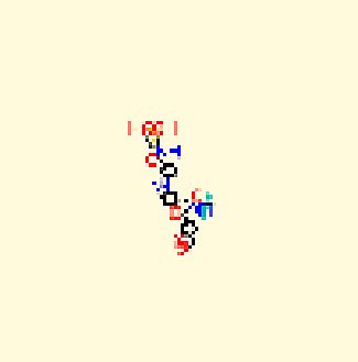 C[C@H](NC(=O)C(C)(F)F)[C@H](Oc1ccc2c(cnn2-c2cccc(C(=O)N[C@H]3CCS(O)(O)C3)c2)c1)c1ccc2c(c1)OOCC2